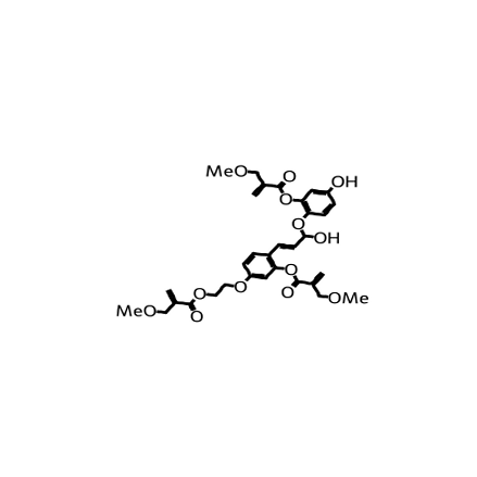 C=C(COC)C(=O)OCCOc1ccc(/C=C/C(O)Oc2ccc(O)cc2OC(=O)C(=C)COC)c(OC(=O)C(=C)COC)c1